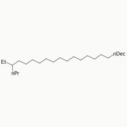 [CH2]CCCCCCCCCCCCCCCCCCCCCCCC(CC)CC[CH2]